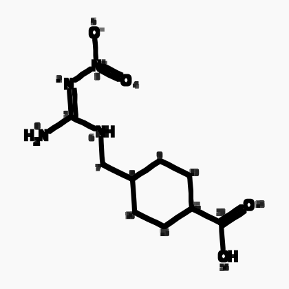 N/C(=N/[N+](=O)[O-])NCC1CCC(C(=O)O)CC1